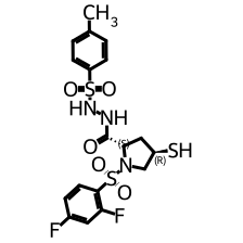 Cc1ccc(S(=O)(=O)NNC(=O)[C@@H]2C[C@@H](S)CN2S(=O)(=O)c2ccc(F)cc2F)cc1